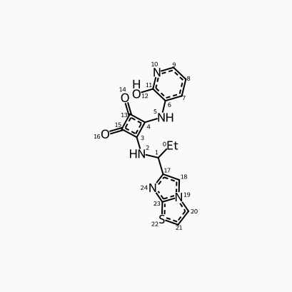 CCC(Nc1c(Nc2cccnc2O)c(=O)c1=O)c1cn2ccsc2n1